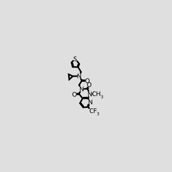 Cn1c(=O)n(CC(=O)N(Cc2ccsc2)C2CC2)c(=O)c2ccc(C(F)(F)F)nc21